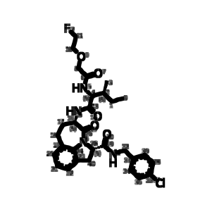 CC[C@H](C)[C@H](NC(=O)COCCF)C(=O)N[C@H]1CCc2cccc3c2N(C1=O)[C@H](C(=O)NCc1ccc(Cl)cc1)C3